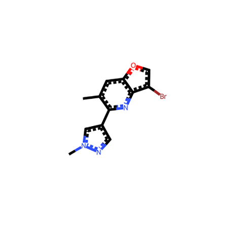 Cc1cc2occ(Br)c2nc1-c1cnn(C)c1